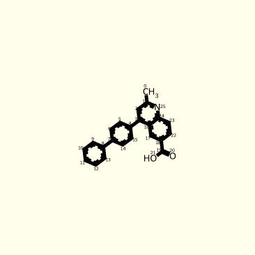 Cc1cc(-c2ccc(-c3ccccc3)cc2)c2cc(C(=O)O)ccc2n1